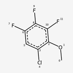 COc1c(Cl)cc(F)c(F)c1F